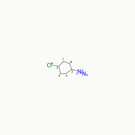 N#[N+]C1CCC(Cl)CC1